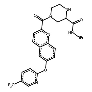 CC(C)NC(=O)C1CN(C(=O)c2ccc3cc(Oc4ccc(C(F)(F)F)cn4)ccc3n2)CCN1